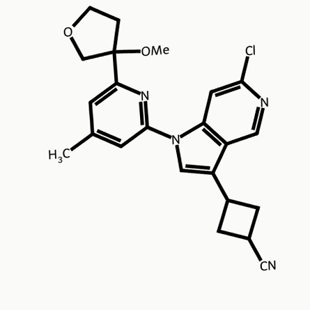 COC1(c2cc(C)cc(-n3cc(C4CC(C#N)C4)c4cnc(Cl)cc43)n2)CCOC1